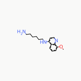 COc1cccc2c(NCCCCCCN)ccnc12